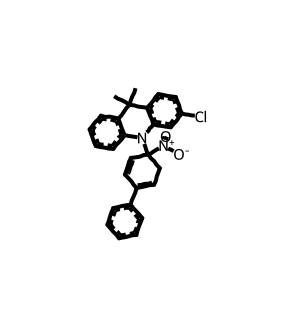 CC1(C)c2ccccc2N(C2([N+](=O)[O-])C=CC(c3ccccc3)=CC2)c2cc(Cl)ccc21